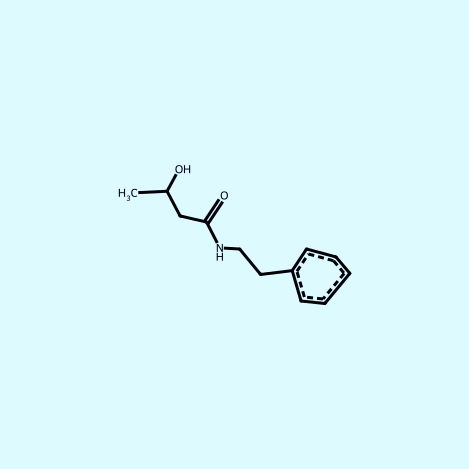 CC(O)CC(=O)NCCc1ccccc1